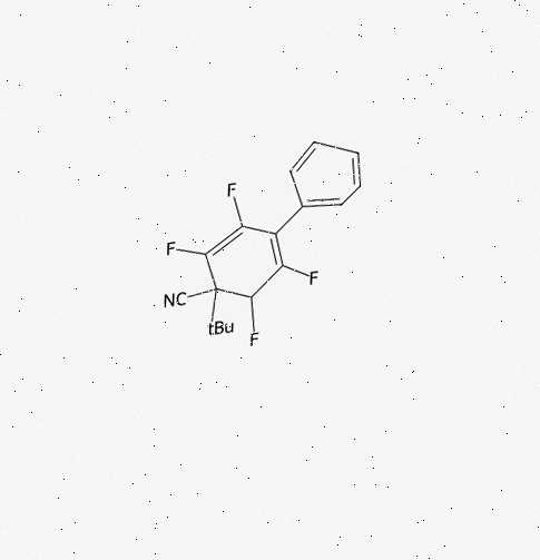 CC(C)(C)C1(C#N)C(F)=C(F)C(c2ccccc2)=C(F)C1F